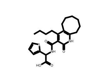 CCCCc1c2c([nH]c(=O)c1C(=O)NC(C(=O)O)c1cccs1)CCCCCC2